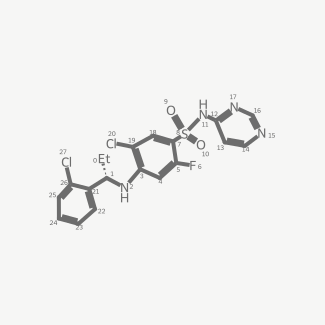 CC[C@H](Nc1cc(F)c(S(=O)(=O)Nc2ccncn2)cc1Cl)c1ccccc1Cl